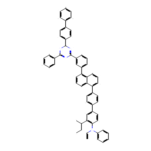 C=CN(c1ccccc1)c1ccc(-c2ccc(-c3cccc4c(-c5cccc(C6=NC(c7ccc(-c8ccccc8)cc7)NC(c7ccccc7)=N6)c5)cccc34)cc2)cc1C(C)CC